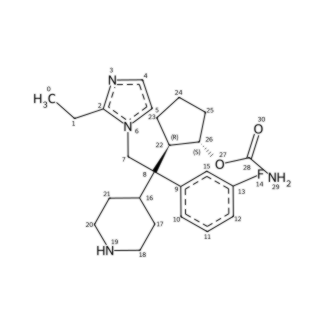 CCc1nccn1CC(c1cccc(F)c1)(C1CCNCC1)[C@H]1CCC[C@@H]1OC(N)=O